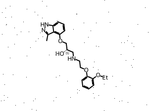 CCOc1ccccc1OCCNC[C@H](O)COc1cccc2[nH]nc(C)c12